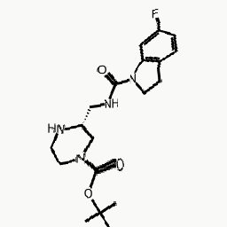 CC(C)(C)OC(=O)N1CCN[C@H](CNC(=O)N2CCc3ccc(F)cc32)C1